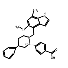 COc1cc(C)c2[nH]ccc2c1CN1CC[C@H](c2ccccc2)C[Si@H]1c1ccc(C(=O)O)cc1